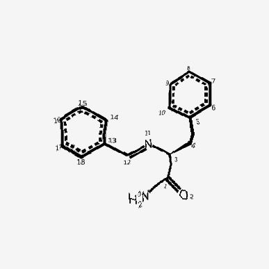 NC(=O)[C@H](Cc1ccccc1)N=Cc1ccccc1